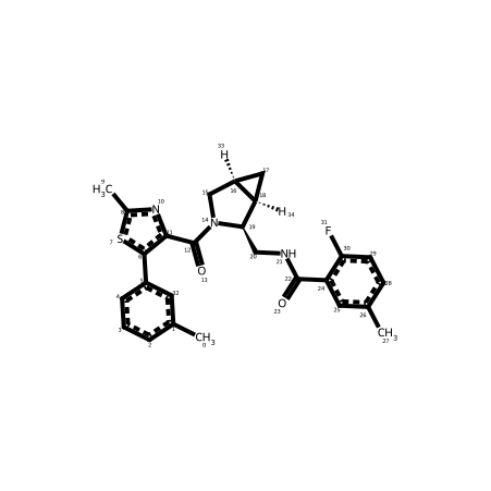 Cc1cccc(-c2sc(C)nc2C(=O)N2C[C@H]3C[C@H]3[C@H]2CNC(=O)c2cc(C)ccc2F)c1